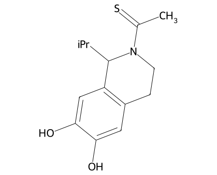 CC(=S)N1CCc2cc(O)c(O)cc2C1C(C)C